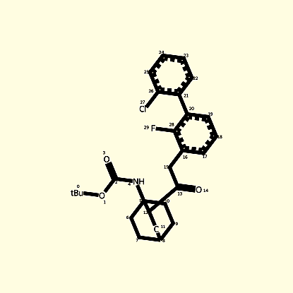 CC(C)(C)OC(=O)NC12CCC(CC1)CC2C(=O)Cc1cccc(-c2ccccc2Cl)c1F